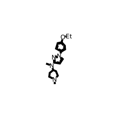 CCOc1ccc(-n2ccc(N(C)C3CCN(C)CC3)n2)cc1